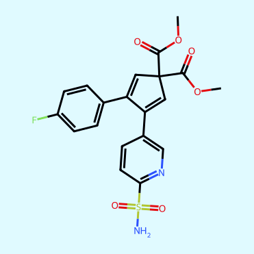 COC(=O)C1(C(=O)OC)C=C(c2ccc(F)cc2)C(c2ccc(S(N)(=O)=O)nc2)=C1